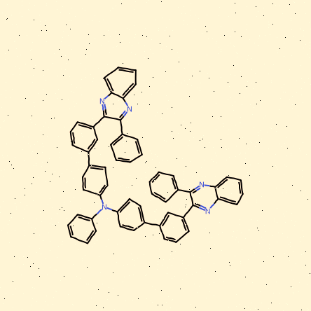 c1ccc(-c2nc3ccccc3nc2-c2cccc(-c3ccc(N(c4ccccc4)c4ccc(-c5cccc(-c6nc7ccccc7nc6-c6ccccc6)c5)cc4)cc3)c2)cc1